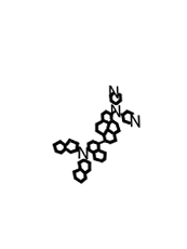 c1ccc2cc(N(c3ccc4ccccc4c3)c3ccc(-c4ccc5ccc6c(N(c7ccncc7)c7ccncc7)ccc7ccc4c5c76)c4ccccc34)ccc2c1